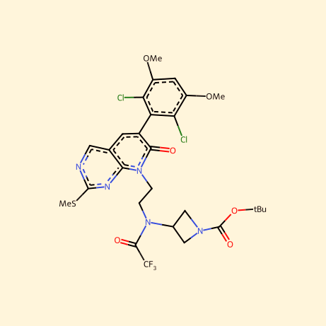 COc1cc(OC)c(Cl)c(-c2cc3cnc(SC)nc3n(CCN(C(=O)C(F)(F)F)C3CN(C(=O)OC(C)(C)C)C3)c2=O)c1Cl